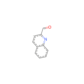 O=Cc1[c]cc2ccccc2n1